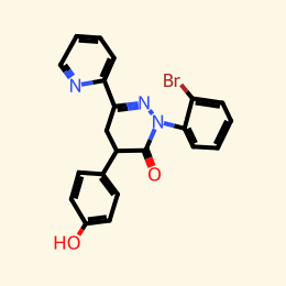 O=C1C(c2ccc(O)cc2)CC(c2ccccn2)=NN1c1ccccc1Br